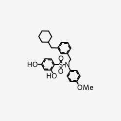 COc1ccc(N(Cc2cccc(CC3CCCCC3)c2)S(=O)(=O)c2ccc(O)cc2O)cc1